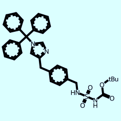 CC(C)(C)OC(=O)NS(=O)(=O)NCc1ccc(Cc2cn(C(c3ccccc3)(c3ccccc3)c3ccccc3)cn2)cc1